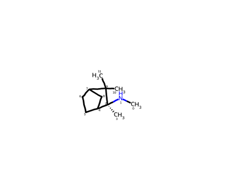 CN[C@@]1(C)C2CCC(C2)C1(C)C